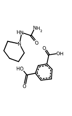 NC(=O)NN1CCCCC1.O=C(O)c1cccc(C(=O)O)c1